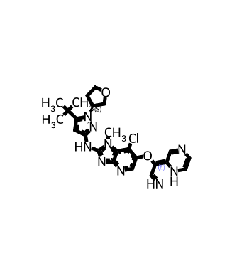 Cn1c(Nc2cc(C(C)(C)C)n([C@H]3CCOC3)n2)nc2ncc(O/C(C=N)=C3\C=NC=CN3)c(Cl)c21